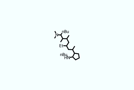 CCCCNC1CCCC1C(C)CC(CC)CC(C)C(C)C(CCCC)N(C)C